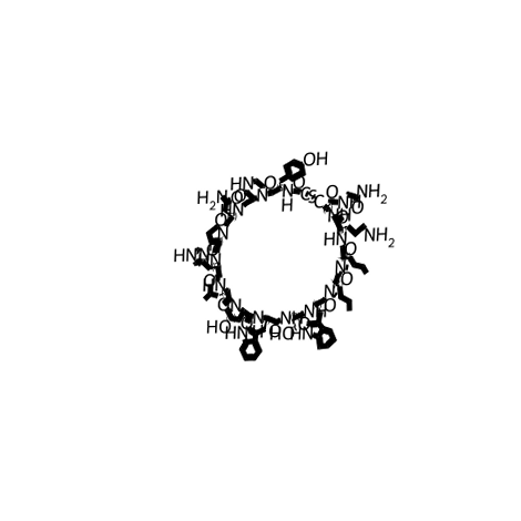 CCCC[C@@H]1C(=O)N(C)[C@H](CCCC)C(=O)N[C@@H](CCCN)C(=O)N[C@@H](C(=O)NCC(N)=O)CSCC(=O)N[C@@H](Cc2ccc(O)cc2)C(=O)N2CCNCC2C(=O)N[C@H](CC(N)=O)C(=O)N2CCC[C@H]2C(=O)N[C@H](Cc2c[nH]cn2)C(=O)N[C@@H](CC(C)C)C(=O)N2C[C@H](O)CC2C(=O)N[C@H](Cc2c[nH]c3ccccc23)C(=O)N[C@@H](CO)C(=O)N[C@@H](Cc2c[nH]c3ccccc23)C(=O)N1C